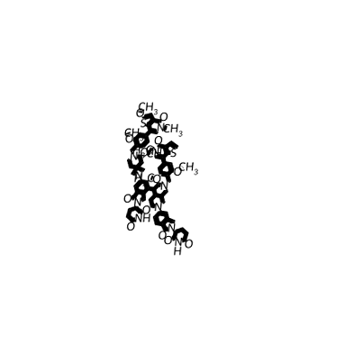 COc1cc2c(=O)n(C)cc(-c3cc(OC)c(CN4CCC5(CC4)CN(c4cc6c(c(C7CN(Cc8c(OC)cc(-c9cn(C)c(=O)c%10ccsc9%10)cc8OC)CC8CN(c9ccc%10c(c9)CN(C9CCC(=O)NC9=O)C%10=O)CCC87)c4)CN(C4CCC(=O)NC4=O)C6=O)C5)c(OC)c3)c2s1